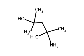 CC(C)(N)CC(C)(C)O